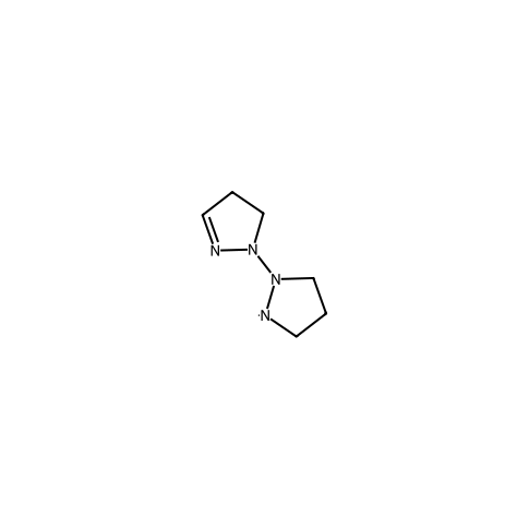 C1=NN(N2CCC[N]2)CC1